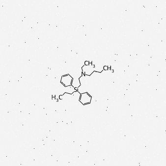 CCCCN(CC)CC[Si](CCC)(c1ccccc1)c1ccccc1